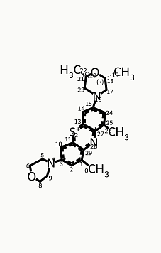 Cc1cc(N2CCOCC2)cc2[s+]c3cc(N4C[C@@H](C)O[C@@H](C)C4)cc(C)c3nc12